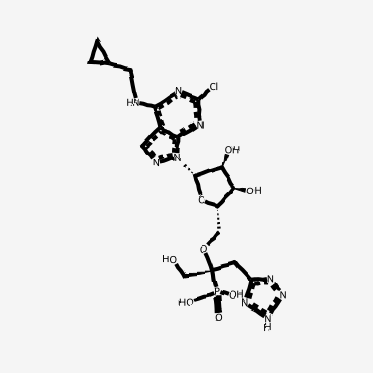 O=P(O)(O)[C@@](CO)(Cc1nn[nH]n1)OC[C@@H]1O[C@H](n2ncc3c(NCC4CC4)nc(Cl)nc32)[C@@H](O)[C@H]1O